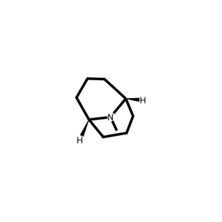 CN1[C@H]2CCC[C@@H]1CCC2